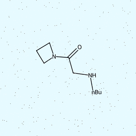 CCCCNCC(=O)N1CCC1